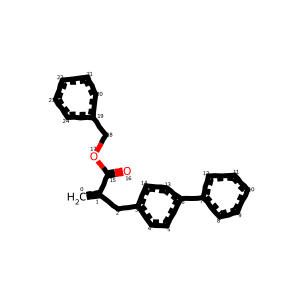 C=C(Cc1ccc(-c2ccccc2)cc1)C(=O)OCc1ccccc1